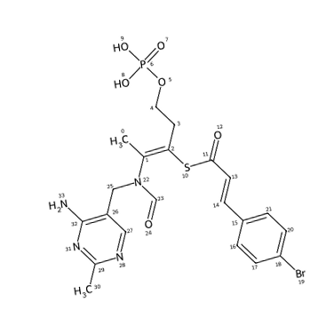 C/C(=C(\CCOP(=O)(O)O)SC(=O)/C=C/c1ccc(Br)cc1)N(C=O)Cc1cnc(C)nc1N